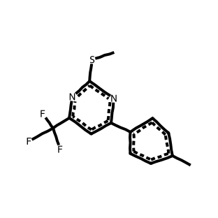 CSc1nc(-c2ccc(C)cc2)cc(C(F)(F)F)n1